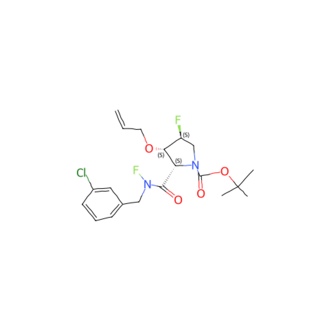 C=CCO[C@H]1[C@@H](C(=O)N(F)Cc2cccc(Cl)c2)N(C(=O)OC(C)(C)C)C[C@@H]1F